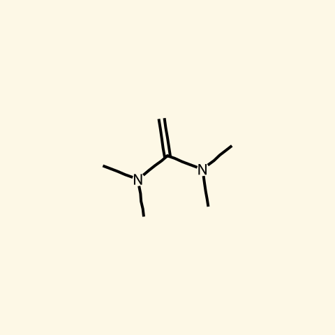 C=C(N(C)C)N(C)C